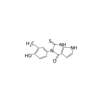 Cc1cc(-n2c(=S)[nH]c3[nH]ccc3c2=O)ccc1O